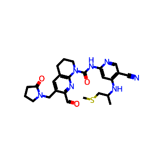 CSCC(C)Nc1cc(NC(=O)N2CCCc3cc(CN4CCCC4=O)c(C=O)nc32)ncc1C#N